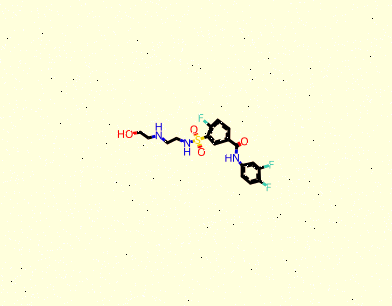 O=C(Nc1ccc(F)c(F)c1)c1ccc(F)c(S(=O)(=O)NCCNCCO)c1